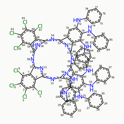 Clc1c(Cl)c(Cl)c2c(c1Cl)-c1nc-2nc2c3c(Nc4ccccc4)c(Nc4ccccc4)c(Nc4ccccc4)c(Nc4ccccc4)c3c(nc3nc(nc4[nH]c(n1)c1c(Cl)c(Cl)c(Cl)c(Cl)c41)-c1cc(Nc4ccccc4)c(Nc4ccccc4)c(Nc4ccccc4)c1-3)n2Nc1ccccc1